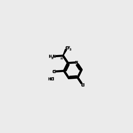 Cl.N[C@H](c1ncc(Cl)cc1Cl)C(F)(F)F